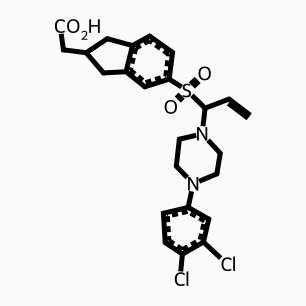 C=CC(N1CCN(c2ccc(Cl)c(Cl)c2)CC1)S(=O)(=O)c1ccc2c(c1)CC(CC(=O)O)C2